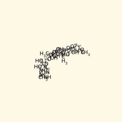 CCC(O)(OC[C@H]1O[C@@H](n2cnc3c(=N)n(C)cnc32)[C@H](O)[C@@H]1O)OP(O)OP(O)OC(O)(CC)OC[C@H]1O[C@@H](Oc2ccc(OC)cc2)[C@H](O)[C@@H]1O